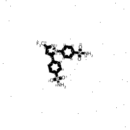 NS(=O)(=O)c1ccc(-c2cc(C(F)(F)F)nn2-c2ccc(S(N)(=O)=O)cc2)cc1